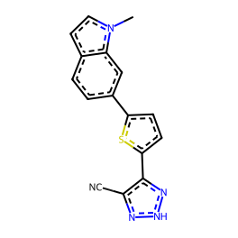 Cn1ccc2ccc(-c3ccc(-c4n[nH]nc4C#N)s3)cc21